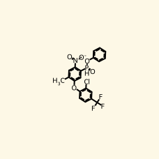 Cc1cc([N+](=O)[O-])c([PH](=O)Oc2ccccc2)cc1Oc1ccc(C(F)(F)F)cc1Cl